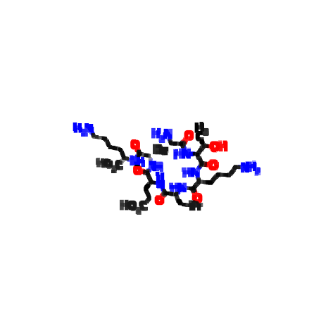 CC[C@H](C)[C@H](NC(=O)[C@H](CCC(=O)O)NC(=O)[C@H](CC(C)C)NC(=O)[C@H](CCCCN)NC(=O)[C@@H](NC(=O)CN)[C@@H](C)O)C(=O)N[C@@H](CCCCN)C(=O)O